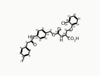 O=C(Cc1ccc(F)cc1)Nc1ccc(COC(=O)NC(COc2ccccc2Cl)C(=O)O)cc1